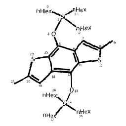 CCCCCC[Si](CCCCCC)(CCCCCC)Oc1c2cc(C)sc2c(O[Si](CCCCCC)(CCCCCC)CCCCCC)c2cc(C)sc12